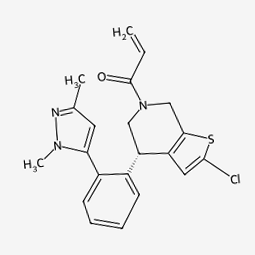 C=CC(=O)N1Cc2sc(Cl)cc2[C@H](c2ccccc2-c2cc(C)nn2C)C1